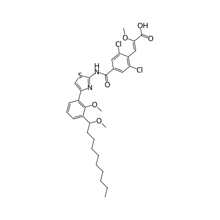 CCCCCCCCCC(OC)c1cccc(-c2csc(NC(=O)c3cc(Cl)c(C=C(OC)C(=O)O)c(Cl)c3)n2)c1OC